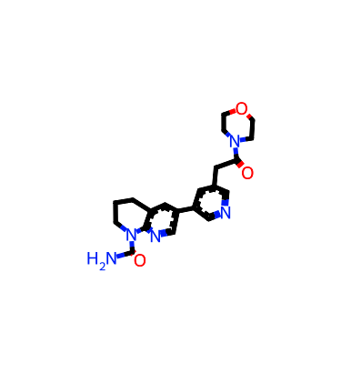 NC(=O)N1CCCc2cc(-c3cncc(CC(=O)N4CCOCC4)c3)cnc21